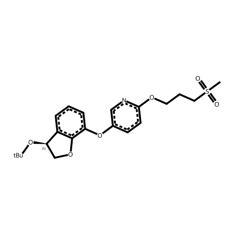 CC(C)(C)O[C@@H]1COc2c(Oc3ccc(OCCCS(C)(=O)=O)nc3)cccc21